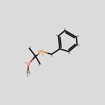 CCOC(C)(C)PCc1ccccc1